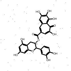 O=C(O[C@@H]1Cc2c(O)cc(O)cc2OC1c1ccc(O)c(O)c1)c1cc(O)c(=O)c2c(O)c(O)c(O)cc2c1